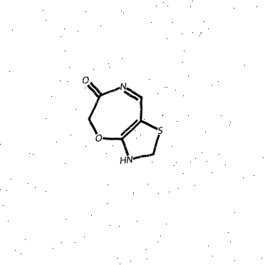 O=C1COC2=C(C=N1)SCN2